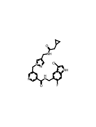 O=C(CC1CC1)NCc1cnn(Cc2cncc(C(=O)NCc3cc4c(Cl)c[nH]c4cc3F)c2)c1